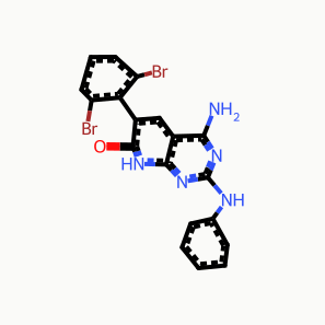 Nc1nc(Nc2ccccc2)nc2[nH]c(=O)c(-c3c(Br)cccc3Br)cc12